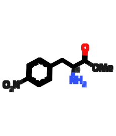 COC(=O)[C@@H](N)Cc1ccc([N+](=O)[O-])cc1